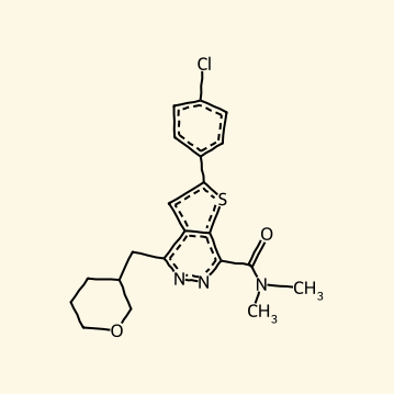 CN(C)C(=O)c1nnc(CC2CCCOC2)c2cc(-c3ccc(Cl)cc3)sc12